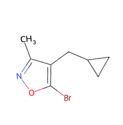 Cc1noc(Br)c1CC1CC1